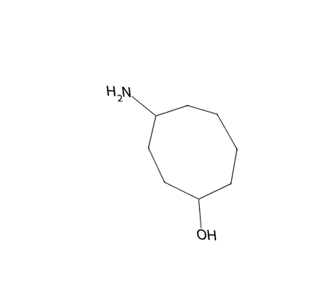 NC1CCCCC(O)CC1